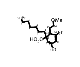 CCC1=CC(CCCCCCC(C)C)(C(=O)O)C(CCOC)C(CC)=C1